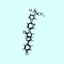 CN(C)[C@@H]1CCN(c2ccc(N3Cc4cc(-c5ccc(Cl)cc5)sc4C3=O)cn2)C1